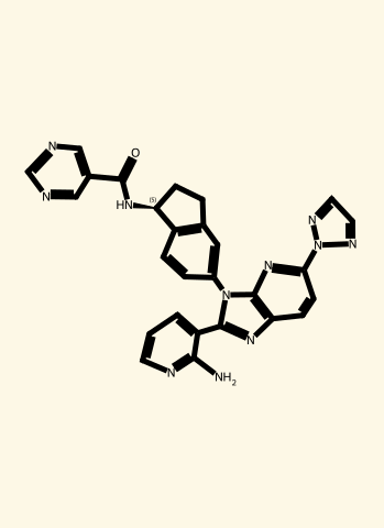 Nc1ncccc1-c1nc2ccc(-n3nccn3)nc2n1-c1ccc2c(c1)CC[C@@H]2NC(=O)c1cncnc1